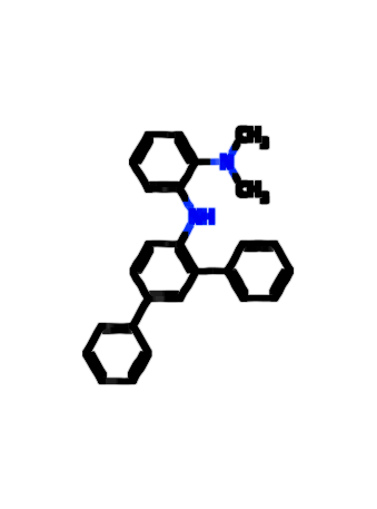 CN(C)c1ccccc1Nc1ccc(-c2ccccc2)cc1-c1ccccc1